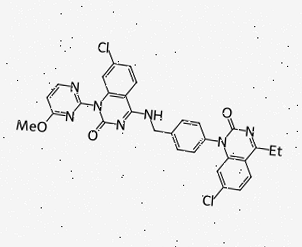 CCc1nc(=O)n(-c2ccc(CNc3nc(=O)n(-c4nccc(OC)n4)c4cc(Cl)ccc34)cc2)c2cc(Cl)ccc12